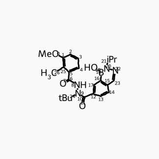 COc1cccc(C(=O)NN(C(=O)c2ccc3c(c2)B(O)N(C(C)C)N=C3)C(C)(C)C)c1C